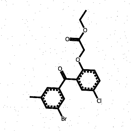 CCOC(=O)COc1ccc(Cl)cc1C(=O)c1cc(C)cc(Br)c1